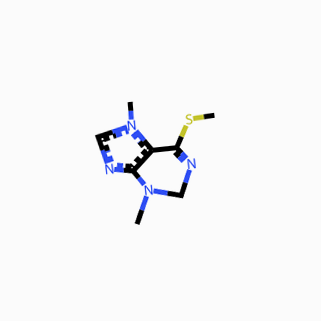 CSC1=NCN(C)c2ncn(C)c21